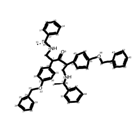 C[C@@H](NCC(C(=O)C(CN[C@H](C)c1ccccc1)c1ccc(OCc2ccccc2)cc1)c1ccc(OCc2ccccc2)cc1)c1ccccc1